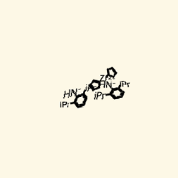 C1=CC[C]([Zr+2][C]2=CC=CC2)=C1.CC(C)c1cccc(C(C)C)c1[NH-].CC(C)c1cccc(C(C)C)c1[NH-]